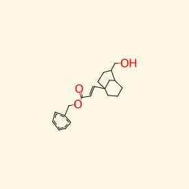 O=C(/C=C/C12CCCC(C1)C(CO)CC2)OCc1ccccc1